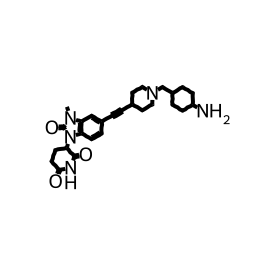 Cn1c(=O)n(C2CCC(=O)NC2=O)c2ccc(C#CC3CCN(CC4CCC(N)CC4)CC3)cc21